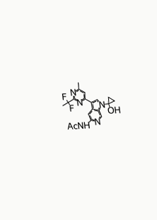 CC(=O)Nc1cc2c(-c3cc(C)nc(C(C)(F)F)n3)cn(C3(O)CC3)c2cn1